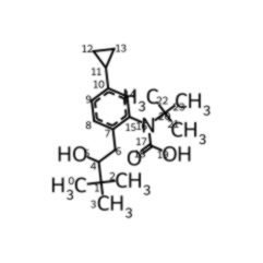 CC(C)(C)C(O)Cc1ccc(C2CC2)cc1N(C(=O)O)C(C)(C)C